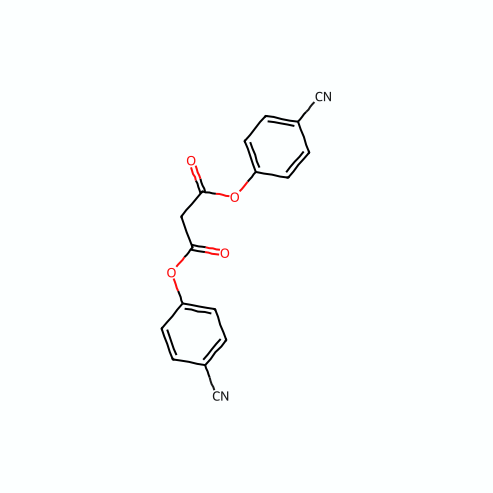 N#Cc1ccc(OC(=O)CC(=O)Oc2ccc(C#N)cc2)cc1